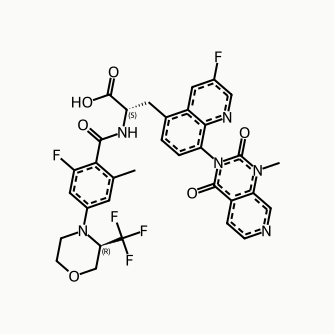 Cc1cc(N2CCOC[C@@H]2C(F)(F)F)cc(F)c1C(=O)N[C@@H](Cc1ccc(-n2c(=O)c3ccncc3n(C)c2=O)c2ncc(F)cc12)C(=O)O